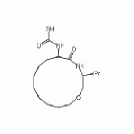 CC(C)[C@H]1COCCCCCCCC[C@@H](NC([NH])=O)C(=O)N1